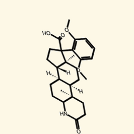 COc1cccc(OC)c1C1(C(=O)O)CC[C@H]2[C@@H]3CCC4NC(=O)CC[C@]4(C)[C@@H]3CC[C@@]21C